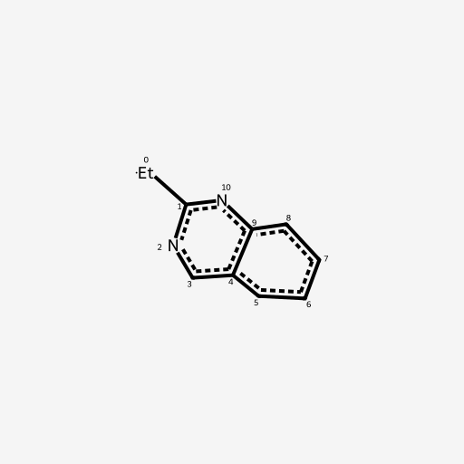 C[CH]c1ncc2ccccc2n1